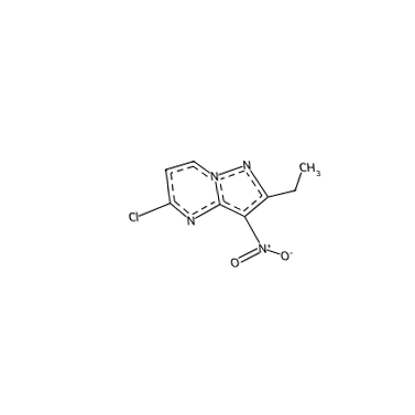 CCc1nn2ccc(Cl)nc2c1[N+](=O)[O-]